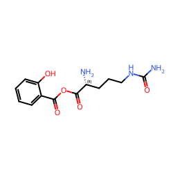 NC(=O)NCCC[C@@H](N)C(=O)OC(=O)c1ccccc1O